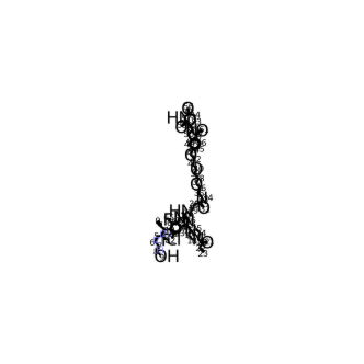 C#C\C(=C(F)/C=C\C=C\O)c1c(Cl)cc2c(N3CCN(C(=O)C=C)CC3)nc(NCCC(=O)N(C)CCOCCOCCOc3ccc4c(c3)CN(C3CCC(=O)NC3=O)C4=O)nc2c1F